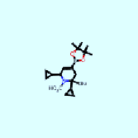 CC(C)(C)C1(C2CC2)CC(B2OC(C)(C)C(C)(C)O2)=CC(C2CC2)N1C(=O)O